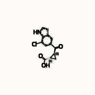 O=C(O)[C@H]1C[C@@H]1C(=O)c1cc(Cl)c2[nH]ccc2c1